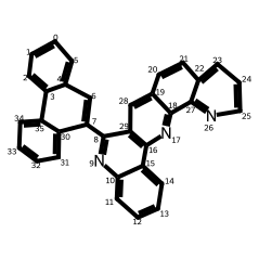 c1ccc2c(c1)cc(-c1nc3ccccc3c3nc4c(ccc5cccnc54)cc13)c1ccccc12